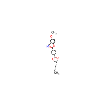 CCCCCC1COC(C2CCC(C(=O)Oc3ccc(OCC)cc3C#N)CC2)OC1